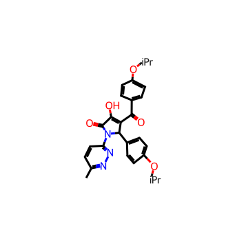 Cc1ccc(N2C(=O)C(O)=C(C(=O)c3ccc(OC(C)C)cc3)C2c2ccc(OC(C)C)cc2)nn1